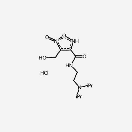 CC(C)N(CCNC(=O)c1[nH]o[n+](=O)c1CO)C(C)C.Cl